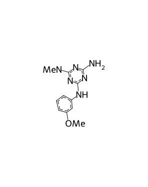 CNc1nc(N)nc(Nc2cccc(OC)c2)n1